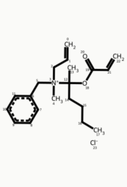 C=CC[N+](C)(Cc1ccccc1)C(C)(CCCC)OC(=O)C=C.[Cl-]